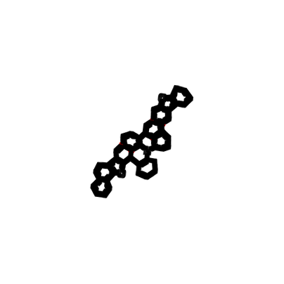 C1=CC(C2CC=Cc3c2oc2c3ccc3ccccc32)=C(N(c2cccc(-c3ccc4oc5ccccc5c4c3)c2)c2ccccc2-c2ccccc2)CC1